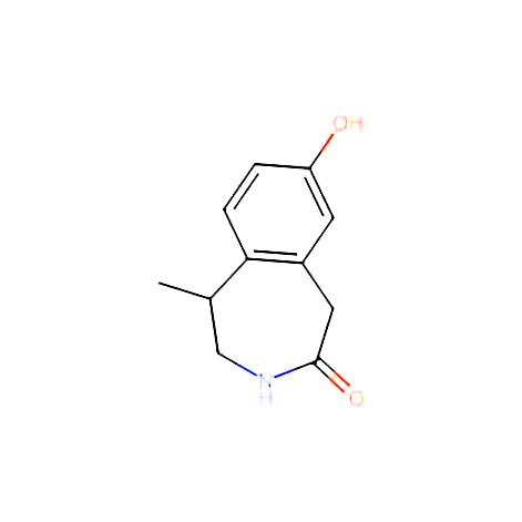 CC1CNC(=O)Cc2cc(O)ccc21